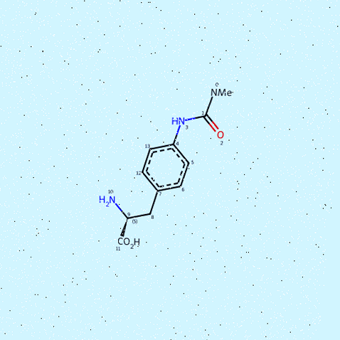 CNC(=O)Nc1ccc(C[C@H](N)C(=O)O)cc1